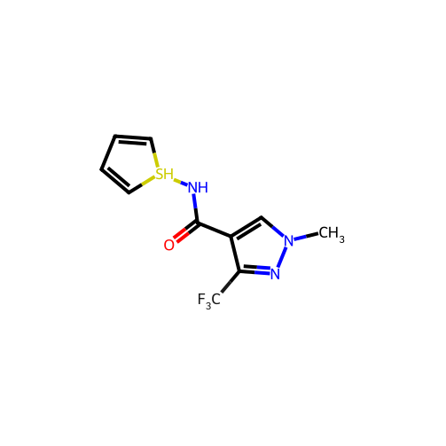 Cn1cc(C(=O)N[SH]2C=CC=C2)c(C(F)(F)F)n1